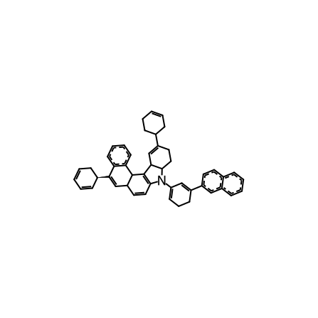 C1=CC[C@@H](C2=CC3C=CC4=C(C5C=C(C6CC=CCC6)CCC5N4C4=CCCC(c5ccc6ccccc6c5)=C4)C3c3ccccc32)C=C1